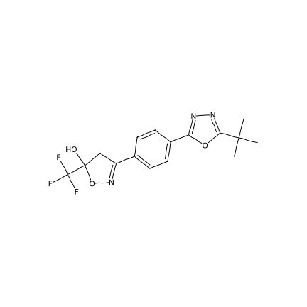 CC(C)(C)c1nnc(-c2ccc(C3=NOC(O)(C(F)(F)F)C3)cc2)o1